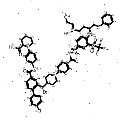 CN(CCO)CCC(CSc1ccccc1)Nc1ccc(S(=O)(=O)NC(=O)c2ccc(N3CCC([C@H](O)c4cc(C(=O)Nc5ccc(N6CCCCC6C(=O)O)cc5)ccc4-c4ccc(Cl)cc4)CC3)cc2)cc1S(=O)(=O)C(F)(F)F